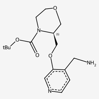 CC(C)(C)OC(=O)N1CCOC[C@H]1COc1cnccc1CN